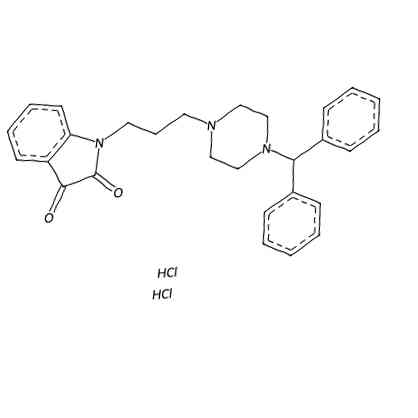 Cl.Cl.O=C1C(=O)N(CCCN2CCN(C(c3ccccc3)c3ccccc3)CC2)c2ccccc21